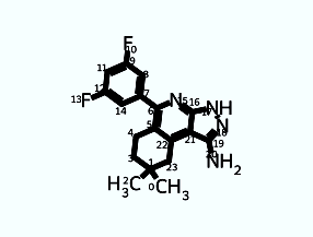 CC1(C)CCc2c(-c3cc(F)cc(F)c3)nc3[nH]nc(N)c3c2C1